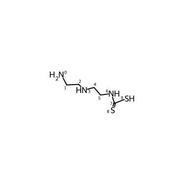 NCCNCCNC(=S)S